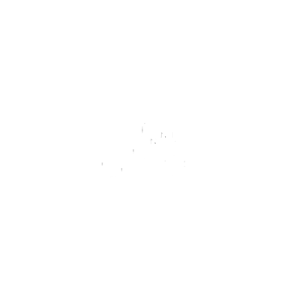 Nn1c(-c2ccc(F)cc2)cc(-c2ccccc2)cc1=O